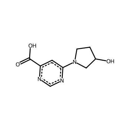 O=C(O)c1cc(N2CCC(O)C2)ncn1